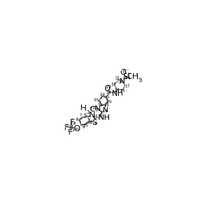 Cn1c(Nc2nc3ccc(OC(F)(F)F)cc3s2)nc2cc(C(=O)NC3CCN([S+](C)[O-])CC3)ccc21